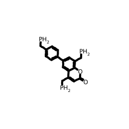 O=c1cc(CP)c2cc(-c3ccc(CP)cc3)cc(CP)c2o1